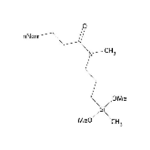 CCCCCCCCCCCC(=O)N(C)CCC[Si](C)(OC)OC